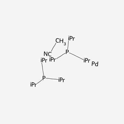 CC#N.CC(C)P(C(C)C)C(C)C.CC(C)P(C(C)C)C(C)C.[Pd]